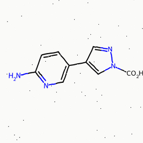 Nc1ccc(-c2cnn(C(=O)O)c2)cn1